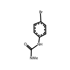 CNC(=O)Nc1ccc(Br)cc1